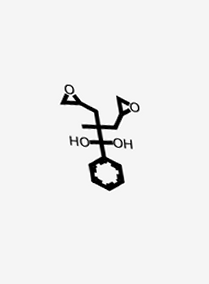 CC(CC1CO1)(CC1CO1)C(O)(O)c1ccccc1